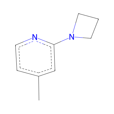 Cc1ccnc(N2CCC2)c1